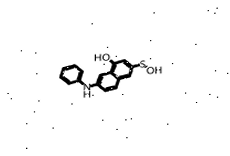 OSc1cc(O)c2cc(Nc3ccccc3)ccc2c1